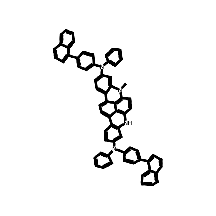 CN1c2cc(N(c3ccccc3)c3ccc(-c4cccc5ccccc45)cc3)ccc2-c2ccc3c4c(ccc1c24)Nc1cc(N(c2ccccc2)c2ccc(-c4cccc5ccccc45)cc2)ccc1-3